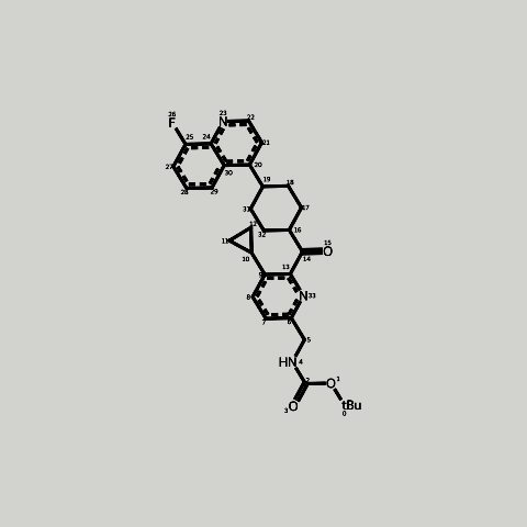 CC(C)(C)OC(=O)NCc1ccc(C2CC2)c(C(=O)C2CCC(c3ccnc4c(F)cccc34)CC2)n1